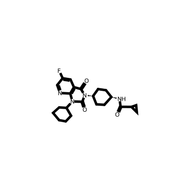 O=C(N[C@H]1CC[C@@H](n2c(=O)c3cc(F)cnc3n(C3CCCCC3)c2=O)CC1)C1CC1